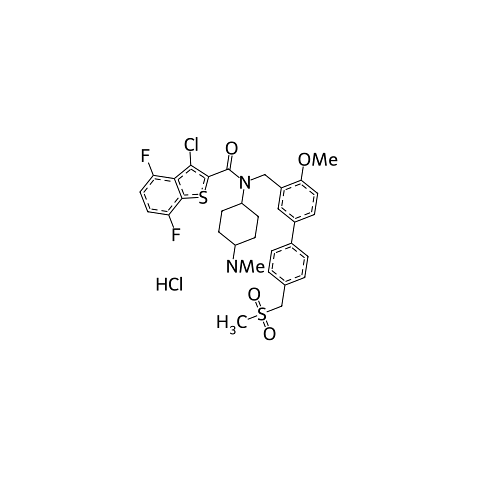 CNC1CCC(N(Cc2cc(-c3ccc(CS(C)(=O)=O)cc3)ccc2OC)C(=O)c2sc3c(F)ccc(F)c3c2Cl)CC1.Cl